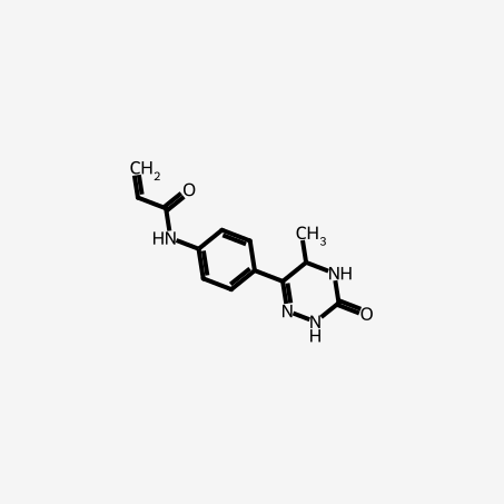 C=CC(=O)Nc1ccc(C2=NNC(=O)NC2C)cc1